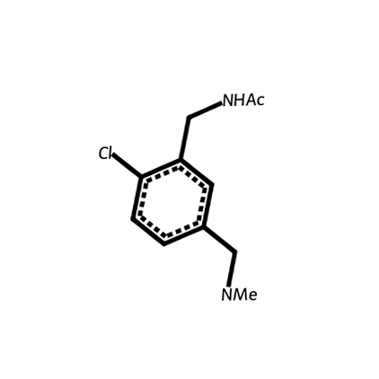 CNCc1ccc(Cl)c(CNC(C)=O)c1